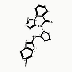 O=C(N[C@@H]1CCC[C@H]1Nc1nc2ccc(F)cc2s1)c1ccccc1-n1ccnn1